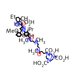 C=C1CC(CC)CC(C)C1(NC(=O)c1cc(-c2c(OC)cccc2OC)n(-c2ccc(C(=O)N(C)CCCN(C)CCCN(C)C(=O)CCC(C(=O)O)N3CCN(CC(=O)O)CCN(CC(=O)O)CC3)cc2C(C)C)n1)C(=O)O